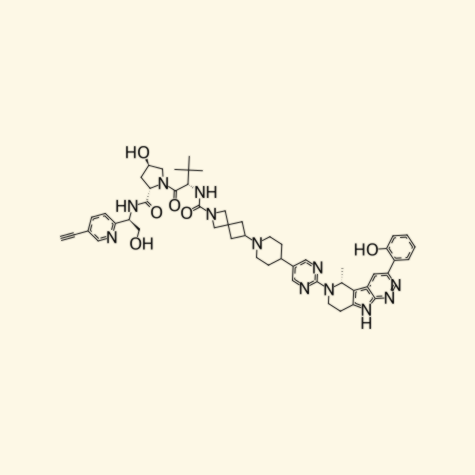 C#Cc1ccc([C@H](CO)NC(=O)[C@@H]2C[C@@H](O)CN2C(=O)[C@@H](NC(=O)N2CC3(CC(N4CCC(c5cnc(N6CCc7[nH]c8nnc(-c9ccccc9O)cc8c7[C@H]6C)nc5)CC4)C3)C2)C(C)(C)C)nc1